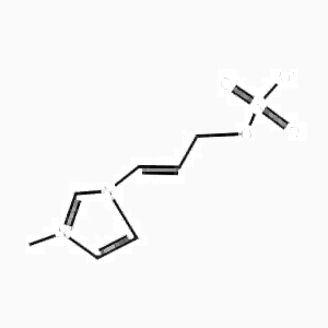 C[n+]1ccn(C=CCOS(=O)(=O)[O-])c1